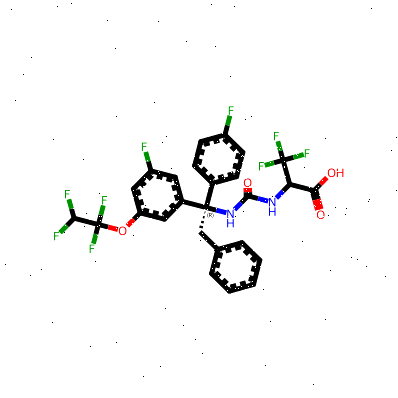 O=C(NC(C(=O)O)C(F)(F)F)N[C@](Cc1ccccc1)(c1ccc(F)cc1)c1cc(F)cc(OC(F)(F)C(F)F)c1